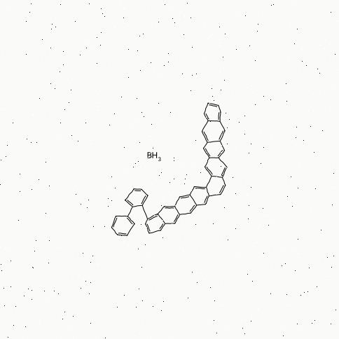 B.c1ccc(-c2ccccc2-c2cccc3cc4cc5cc6ccc7cc8cc9cc%10ccccc%10cc9cc8cc7c6cc5cc4cc23)cc1